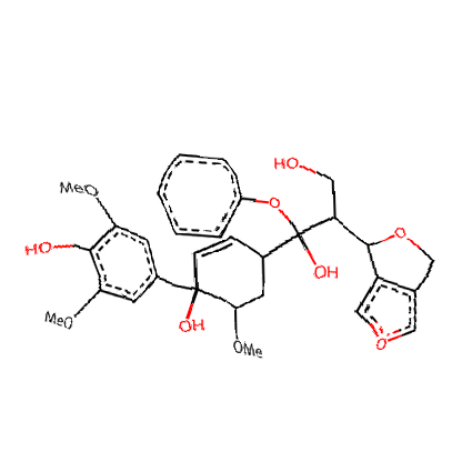 COc1cc(C2(O)C=CC(C(O)(Oc3ccccc3)C(CO)C3OCc4cocc43)CC2OC)cc(OC)c1O